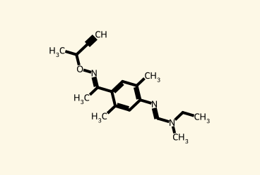 C#CC(C)O/N=C(\C)c1cc(C)c(N=CN(C)CC)cc1C